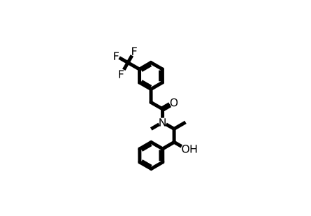 CC(C(O)c1ccccc1)N(C)C(=O)Cc1cccc(C(F)(F)F)c1